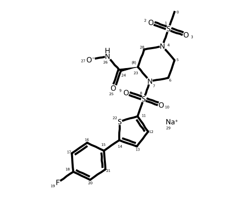 CS(=O)(=O)N1CCN(S(=O)(=O)c2ccc(-c3ccc(F)cc3)s2)[C@@H](C(=O)N[O-])C1.[Na+]